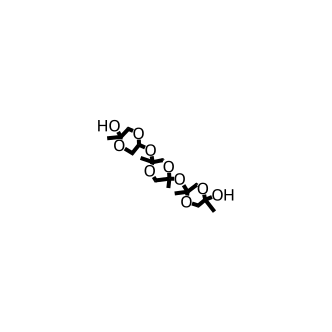 CC1(O)COC(OC2(C)COC(C)(OC3(C)COC(C)(O)CO3)CO2)CO1